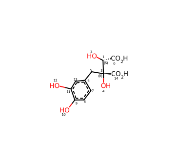 O=C(O)[C@@H](O)[C@](O)(Cc1ccc(O)c(O)c1)C(=O)O